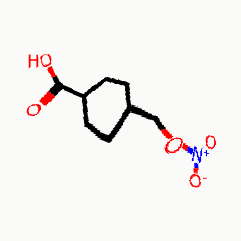 O=C(O)C1CCC(CO[N+](=O)[O-])CC1